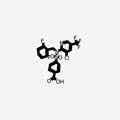 O=C(O)c1ccc(S(=O)(=O)N(Cc2c(F)cccc2F)c2ncc(C(F)(F)F)cc2Cl)cc1